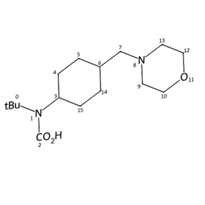 CC(C)(C)N(C(=O)O)C1CCC(CN2CCOCC2)CC1